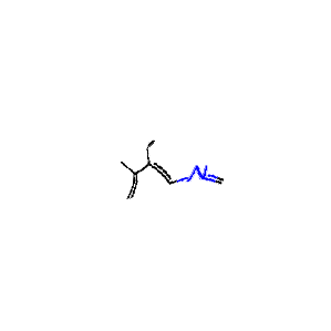 C=N/C=C(\C)C(=C)C